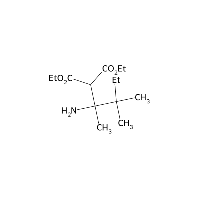 CCOC(=O)C(C(=O)OCC)C(C)(N)C(C)(C)CC